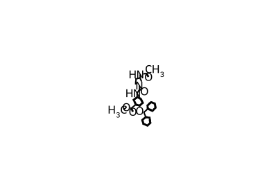 COC(=O)c1cc(NC(=O)N2CCC(NC(C)=O)C2)ccc1OC(c1ccccc1)c1ccccc1